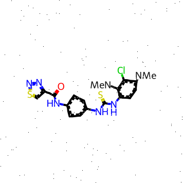 CNc1ccc(NC(=S)Nc2ccc(NC(=O)c3csnn3)cc2)c(NC)c1Cl